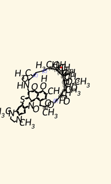 CC(=O)O[C@H]1[C@H](C)[C@H](O)[C@H](C)[C@@H](O)[C@@H](C)/C=C/C=C(/C)C(=O)Nc2c3sc4cc5c(cc4nc-3c3c4c(c(C)c(O)c3c2=O)O[C@](C)(O/C=C/[C@H](C=O)[C@H]1C)C4=O)N(C)CCN5C